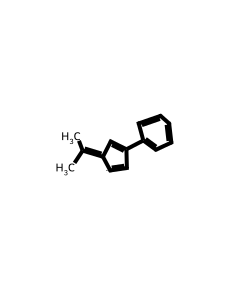 CC(C)=C1[C]=CC(c2ccccc2)=C1